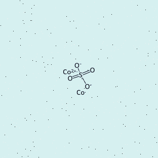 O=S(=O)([O-])[O-].[Co+2].[Co]